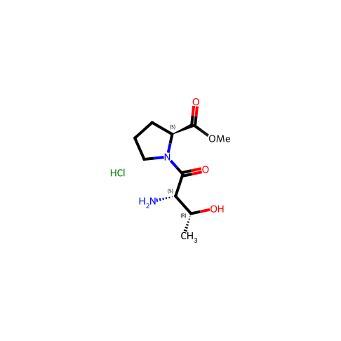 COC(=O)[C@@H]1CCCN1C(=O)[C@@H](N)[C@@H](C)O.Cl